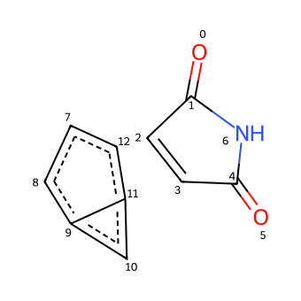 O=C1C=CC(=O)N1.c1cc2cc-2c1